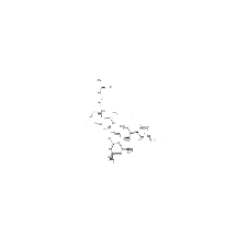 CC[C@@H]1CC(N(Cc2cc(C(F)(F)F)cc(C(F)(F)F)c2)c2ncc(-c3cnn(C)c3)cn2)C[C@H](CC)N1C(=O)OCCCC(=O)O